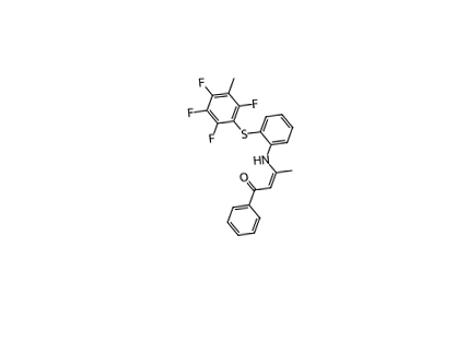 C/C(=C/C(=O)c1ccccc1)Nc1ccccc1Sc1c(F)c(C)c(F)c(F)c1F